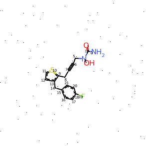 NC(=O)N(O)CC#CCc1sccc1Cc1ccc(F)cc1